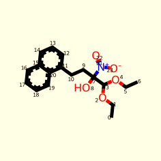 CCOC(OCC)C(O)(CCc1cccc2ccccc12)[N+](=O)[O-]